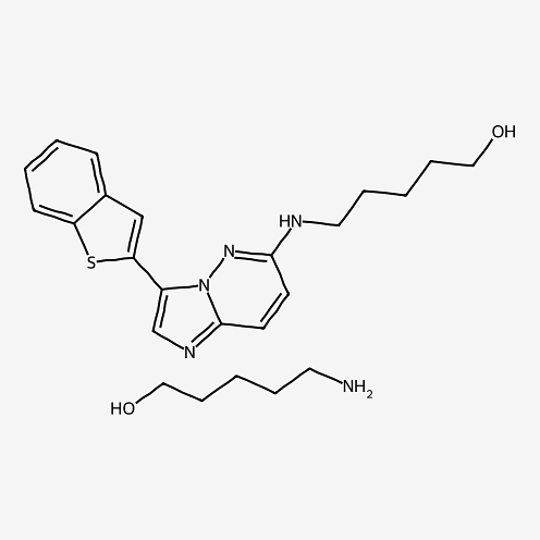 NCCCCCO.OCCCCCNc1ccc2ncc(-c3cc4ccccc4s3)n2n1